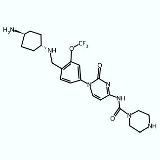 N[C@H]1CC[C@H](NCc2ccc(-n3ccc(NC(=O)N4CCNCC4)nc3=O)cc2OC(F)(F)F)CC1